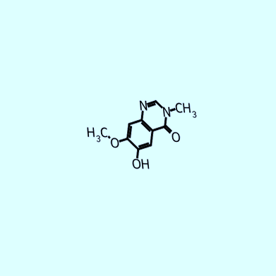 COc1cc2ncn(C)c(=O)c2cc1O